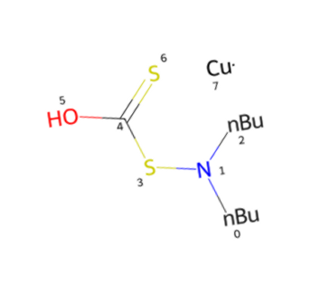 CCCCN(CCCC)SC(O)=S.[Cu]